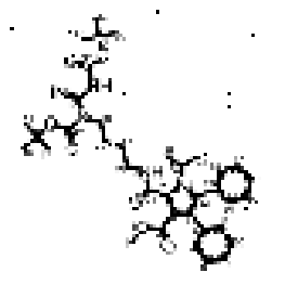 COC(=O)c1c(-c2ccccc2)c(-c2ccccc2)n(C(C)C)c1C(=O)NCCCCN(C(=N)NC(=O)OC(C)(C)C)C(=O)OC(C)(C)C